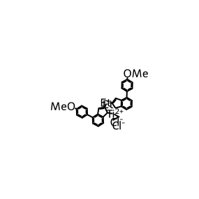 CCC1=Cc2c(-c3ccc(OC)cc3)cccc2[CH]1[Ti+2]1([CH]2C(CC)=Cc3c(-c4ccc(OC)cc4)cccc32)[CH2][CH2]1.[Cl-].[Cl-]